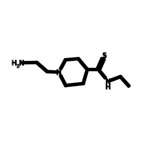 CCNC(=S)C1CCN(CCN)CC1